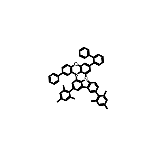 Cc1cc(C)c(-c2ccc3c(c2)c2cc(-c4c(C)cc(C)cc4C)cc4c2n3-c2cc(-c3ccccc3-c3ccccc3)cc3c2B4c2cc(-c4ccccc4)ccc2O3)c(C)c1